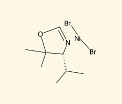 CC(C)[C@H]1N=COC1(C)C.[Br][Ni][Br]